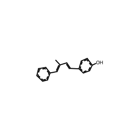 CC(C=Cc1ccc(O)cc1)=Cc1ccccc1